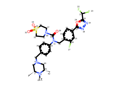 CCN1[C@H](C)CN(Cc2ccc(N(Cc3ccc(-c4nnc(C(F)F)o4)cc3F)C(=O)N3CCS(=O)(=O)CC3)cc2)C[C@@H]1C